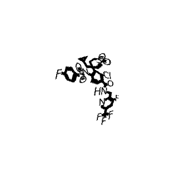 O=C(NCc1ncc(C(F)(F)F)cc1F)c1ccc2c(c1Cl)C1(CCS(=O)(=O)CC1)C(C1CC1)N2S(=O)(=O)c1ccc(F)cc1